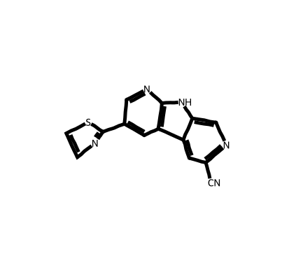 N#Cc1cc2c(cn1)[nH]c1ncc(-c3nccs3)cc12